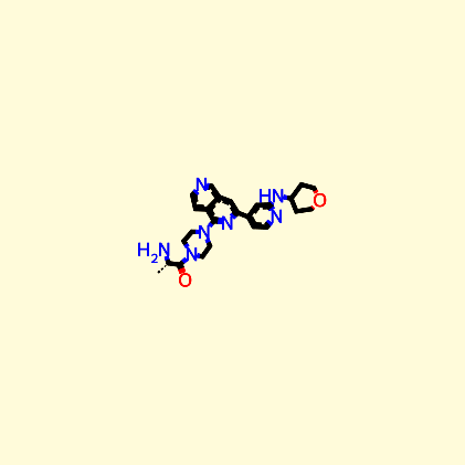 C[C@H](N)C(=O)N1CCN(c2nc(-c3ccnc(NC4CCOCC4)c3)cc3cnccc23)CC1